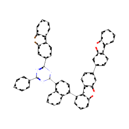 c1ccc(C2=NC(c3ccc(-c4cccc5oc6cc(-c7ccc8c(c7)oc7ccccc78)ccc6c45)c4ccccc34)NC(c3ccc4c(c3)sc3ccccc34)=N2)cc1